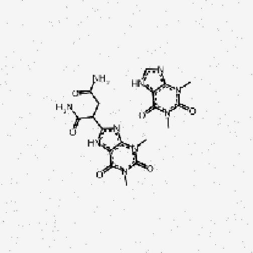 Cn1c(=O)c2[nH]c(C(CC(N)=O)C(N)=O)nc2n(C)c1=O.Cn1c(=O)c2[nH]cnc2n(C)c1=O